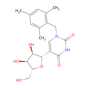 Cc1cc(C)c(Cn2cc([C@@H]3O[C@H](CO)[C@@H](O)[C@H]3O)c(=O)[nH]c2=O)c(C)c1